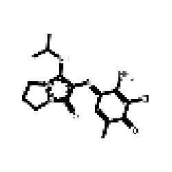 CC1=C/C(=N\c2c(NC(C)C)n3n(c2=O)CCC3)C(N)=C(Cl)C1=O